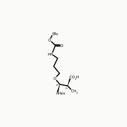 CCCCCC[C@@H](OCCCNC(=O)OC(C)(C)C)[C@H](C)C(=O)O